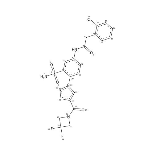 NS(=O)(=O)c1cc(NC(=O)Cc2ccccc2Cl)ccc1-n1cc(C(=O)N2CC(F)(F)C2)cn1